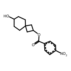 O=C(OC1CC2(CCC(O)CC2)C1)c1ccc([N+](=O)[O-])cc1